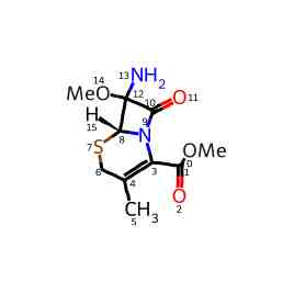 COC(=O)C1=C(C)CS[C@H]2N1C(=O)C2(N)OC